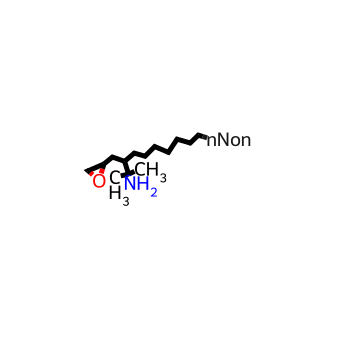 CCCCCCCCCCCCCCCCC(CC1CO1)C(C)(C)N